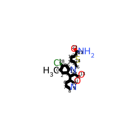 Cc1cc2c3c4cccnc4oc(=O)c3n(Cc3ccc(C(N)=O)s3)c2cc1Cl